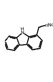 CCCCCCCCCCc1cccc2c1[nH]c1ccccc12